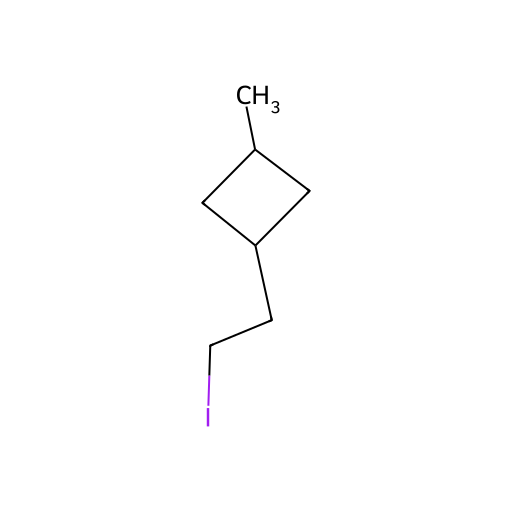 CC1CC(CCI)C1